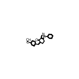 COc1ccc(C=C2CCc3c(cnn3-c3ccccc3)C2=O)cc1